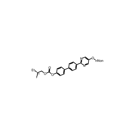 CCCCCCCCCOc1cnc(-c2ccc(-c3ccc(OC(=O)OC[C@@H](F)CC)cc3)cc2)nc1